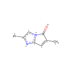 CC1=Cc2nc(C(C)C)cn2C1=O